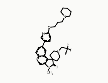 CN1C(=O)C2(CCN(CC(F)(F)F)CC2)c2c1cnc1ccc(-c3ccc(OCCCN4CCCCC4)nc3)cc21